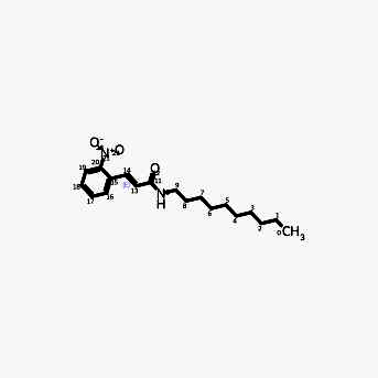 CCCCCCCCCCNC(=O)/C=C/c1ccccc1[N+](=O)[O-]